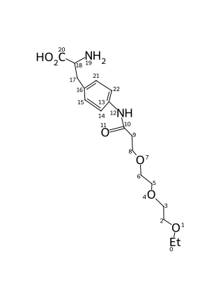 CCOCCOCCOCCC(=O)Nc1ccc(CC(N)C(=O)O)cc1